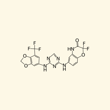 O=C1Nc2cc(Nc3ncnc(Nc4cc5c(c(C(F)(F)F)c4)OCO5)n3)ccc2OC1(F)F